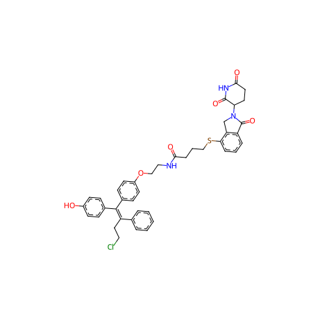 O=C(CCCSc1cccc2c1CN(C1CCC(=O)NC1=O)C2=O)NCCOc1ccc(C(=C(CCCl)c2ccccc2)c2ccc(O)cc2)cc1